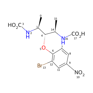 C[C@H](NC(=O)O)[C@@H](Oc1ccc([N+](=O)[O-])cc1Br)[C@@H](C)NC(=O)O